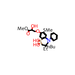 CCCCC1(CC)CN(c2ccccc2)c2cc(SC)c(OCC(O)C(=O)OC)cc2S(O)(O)C1